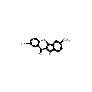 COc1ccc2[nH]c(C(=O)c3cccc(C)c3)c(OC(C)=O)c2c1